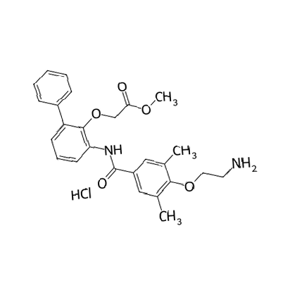 COC(=O)COc1c(NC(=O)c2cc(C)c(OCCN)c(C)c2)cccc1-c1ccccc1.Cl